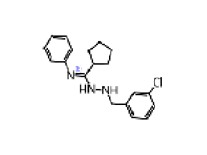 Clc1cccc(CNN/C(=N/c2ccccc2)C2CCCC2)c1